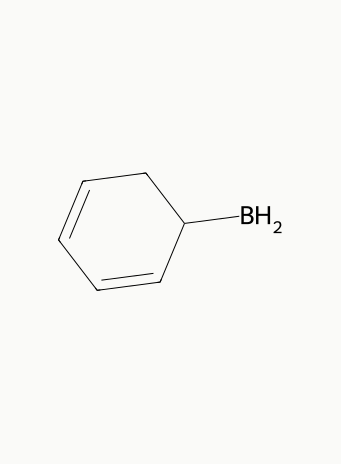 BC1C=CC=CC1